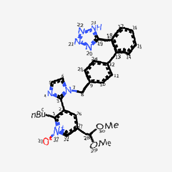 CCCCc1c(-c2nccn2Cc2ccc(-c3ccccc3-c3nnn[nH]3)cc2)cc(C(OC)OC)c[n+]1[O-]